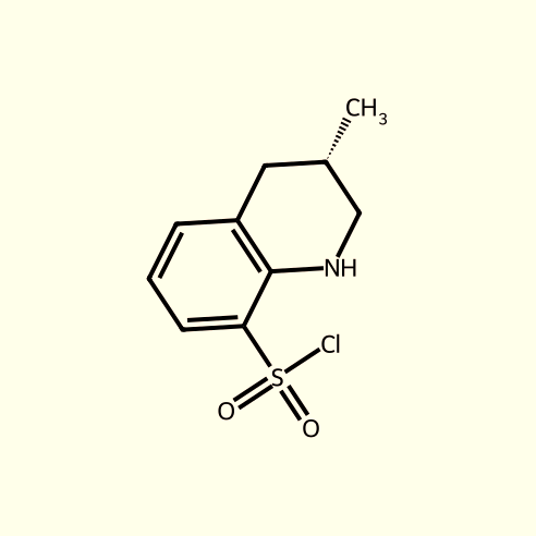 C[C@@H]1CNc2c(cccc2S(=O)(=O)Cl)C1